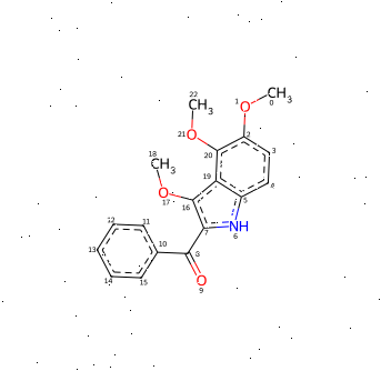 COc1ccc2[nH]c(C(=O)c3ccccc3)c(OC)c2c1OC